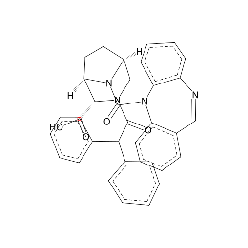 O=C(O)[C@@H]1[C@H]2CC[C@@H](CN1C(=O)C(c1ccccc1)c1ccccc1)N2C(=O)N1c2ccccc2C=Nc2ccccc21